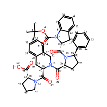 CC(C)(C)OC(=O)N1c2ccccc2C[C@@H]1C(=O)N1[C@@H](c2ccccc2)CC[C@H]1C(=O)N1Cc2ccccc2C[C@@H]1C(=O)N1CCC[C@@H]1C(=O)O